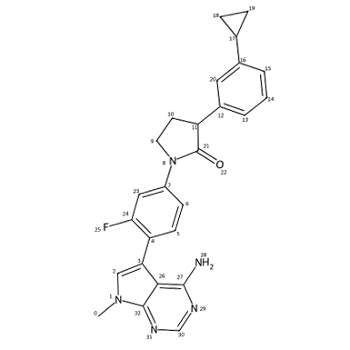 Cn1cc(-c2ccc(N3CCC(c4cccc(C5CC5)c4)C3=O)cc2F)c2c(N)ncnc21